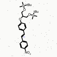 CC(C)(C)[Si](C)(C)OCC(CO[Si](C)(C)C(C)(C)C)Oc1ccc(/C=C/c2ccc([N+](=O)[O-])cc2)cc1